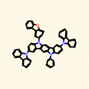 c1ccc(-n2c3ccc(-n4c5ccccc5c5ccccc54)cc3c3cc4c(cc32)c2cc(-n3c5ccccc5c5ccccc53)ccc2n4-c2ccc3oc4ccccc4c3c2)cc1